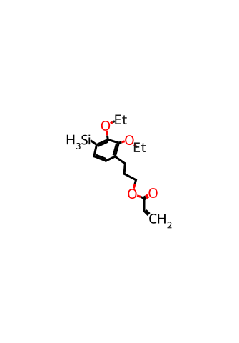 C=CC(=O)OCCCc1ccc([SiH3])c(OCC)c1OCC